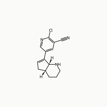 N#Cc1cc(C2=CC[C@H]3CCCN[C@@H]23)cnc1Cl